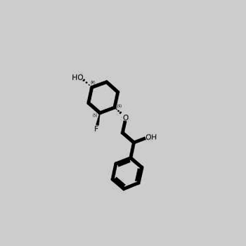 OC(CO[C@H]1CC[C@@H](O)C[C@@H]1F)c1ccccc1